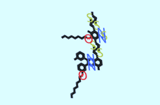 CCCCCCCCOc1cccc(-c2nc3c(C)ccc(-c4cc5sc(-c6c(OCCCCCCCC)c(C)c(-c7cc8sc(C)cc8s7)c7nsnc67)cc5s4)c3nc2-c2cccc(C)c2)c1